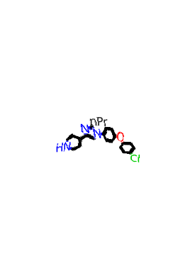 CCCc1nc(C2CCNCC2)cn1-c1ccc(Oc2ccc(Cl)cc2)cc1